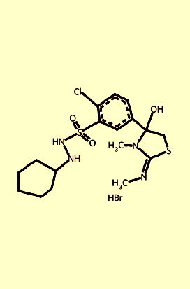 Br.CN=C1SCC(O)(c2ccc(Cl)c(S(=O)(=O)NNC3CCCCC3)c2)N1C